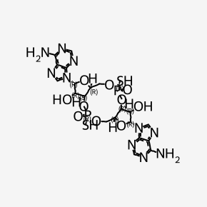 Nc1ncnc2c1ncn2[C@@H]1O[C@@H]2CO[P@@](=O)(S)O[C@H]3[C@@H](O)[C@H](n4cnc5c(N)ncnc54)O[C@@H]3CO[P@@](=O)(S)O[C@H]2[C@H]1O